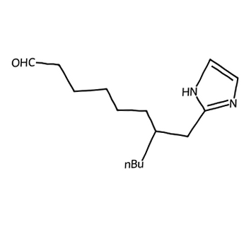 CCCCC(CCCCCC=O)Cc1ncc[nH]1